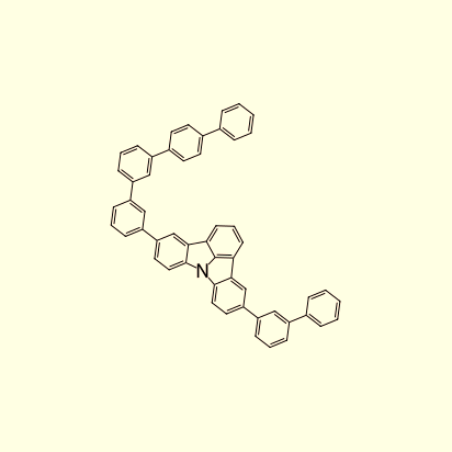 c1ccc(-c2ccc(-c3cccc(-c4cccc(-c5ccc6c(c5)c5cccc7c8cc(-c9cccc(-c%10ccccc%10)c9)ccc8n6c75)c4)c3)cc2)cc1